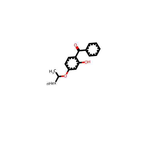 CCCCCCC(C)Oc1ccc(C(=O)c2ccccc2)c(O)c1